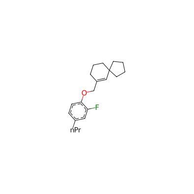 CCCc1ccc(OCC2=CC3(CCCC3)CCC2)c(F)c1